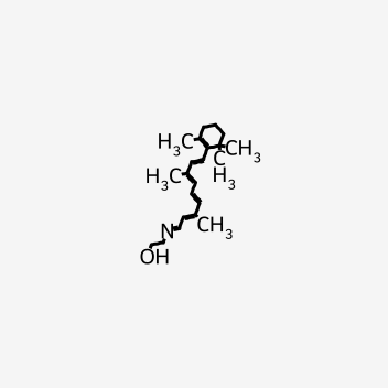 CC(C=CC1=C(C)CCCC1(C)C)=CC=CC(C)=CC=NCCO